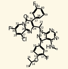 CNc1ncnc2c1c(-c1ccc(OC(C)C)c(F)c1)nn2C(C)c1nc2c(Cl)cc(F)cn2c(=O)c1-c1cccc(F)c1